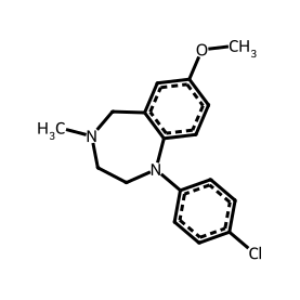 COc1ccc2c(c1)CN(C)CCN2c1ccc(Cl)cc1